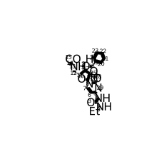 CCNC(=O)Nc1ccn([C@@H]2O[C@H](CNCC(=O)O)C3O[C@H](c4ccccc4)O[C@@H]32)c(=O)n1